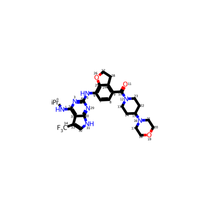 CC(C)Nc1nc(Nc2ccc(C(=O)N3CCC(N4CCOCC4)CC3)c3c2OCC3)nc2[nH]cc(C(F)(F)F)c12